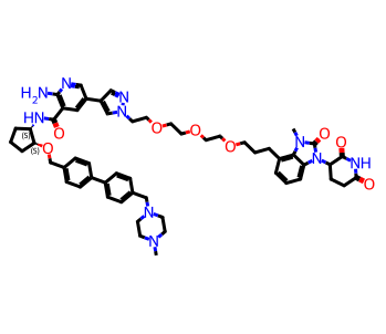 CN1CCN(Cc2ccc(-c3ccc(CO[C@H]4CCC[C@@H]4NC(=O)c4cc(-c5cnn(CCOCCOCCOCCCc6cccc7c6n(C)c(=O)n7C6CCC(=O)NC6=O)c5)cnc4N)cc3)cc2)CC1